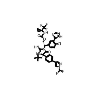 CC(C)(C)C[C@]1(c2ccc(-c3cnn(C(F)F)c3)cc2)NC(=N)N([C@H](COC(=O)NC2(C(F)(F)F)CC2)c2ccc(Cl)c(-c3ncn[nH]3)c2)C1=O